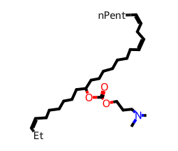 CC/C=C\CCCCCCC(CCCCCCC/C=C\C/C=C\CCCCC)OC(=O)OCCCN(C)C